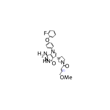 COC/C=C/C(=O)N1CC[C@@H](c2cn(-c3ccc(Oc4ccccc4F)cc3)c3c(N)n[nH]c(=O)c23)C1